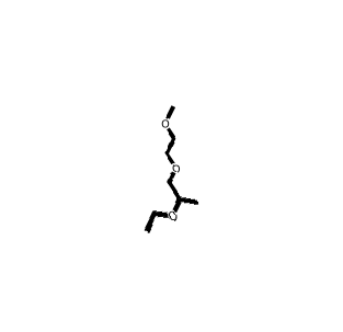 CCOC(C)COCCOC